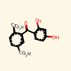 O=C(O)c1ccc(C(=O)O)c(C(=O)c2ccc(O)cc2O)c1